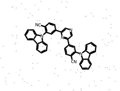 N#Cc1ccc(-c2cncc(-c3ccc(C#N)c(-n4c5ccccc5c5ccccc54)c3)n2)cc1-n1c2ccccc2c2ccccc21